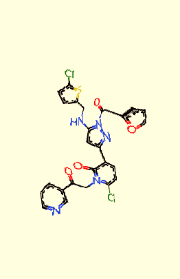 O=C(Cn1c(Cl)ccc(-c2cc(NCc3ccc(Cl)s3)n(C(=O)c3ccco3)n2)c1=O)c1cccnc1